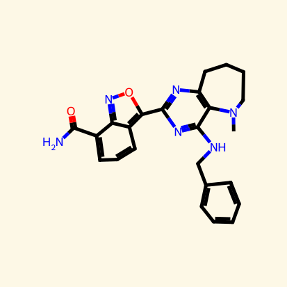 CN1CCCCc2nc(-c3onc4c(C(N)=O)cccc34)nc(NCc3ccccc3)c21